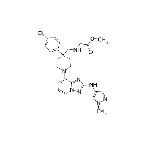 COC(=O)CNCC1(c2ccc(Cl)cc2)CCN(c2cccn3nc(Nc4cnn(C)c4)nc23)CC1